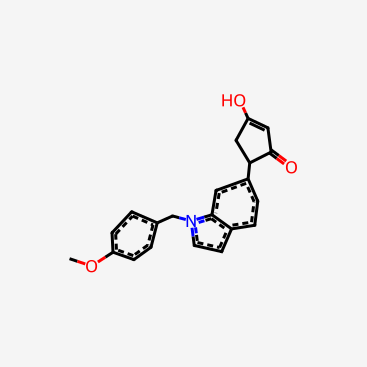 COc1ccc(Cn2ccc3ccc(C4CC(O)=CC4=O)cc32)cc1